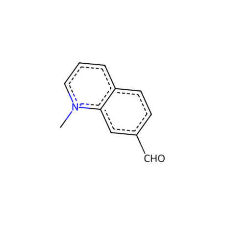 C[n+]1cccc2ccc(C=O)cc21